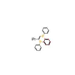 CC(C)/C(=C/P(c1ccccc1)c1ccccc1)P(c1ccccc1)c1ccccc1